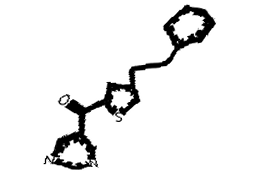 O=C(c1cncnc1)c1cc(CCc2ccccc2)cs1